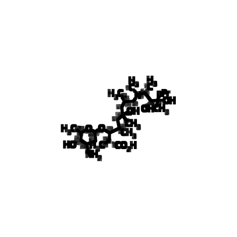 CCCC(C)(O)[C@H](O)[C@@H](C)N(C)C[C@H](C)CC(C)(O)C[C@@H](C)C(O[C@H]1CC(N)[C@H](O)[C@@H](C)O1)[C@@H](C)C(=O)O